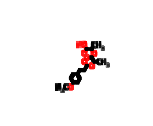 COc1ccc(C=CC(=O)OC(C)C(=O)OC(C)C(=O)O)cc1